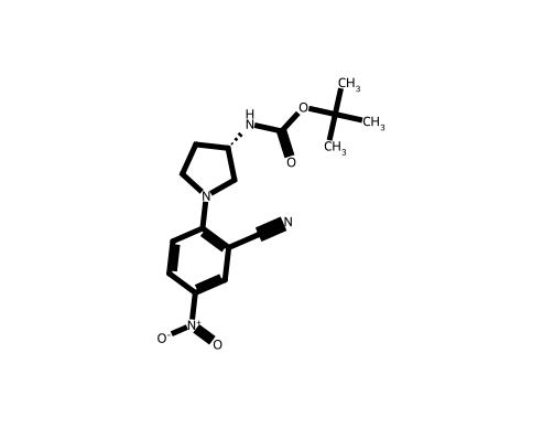 CC(C)(C)OC(=O)N[C@H]1CCN(c2ccc([N+](=O)[O-])cc2C#N)C1